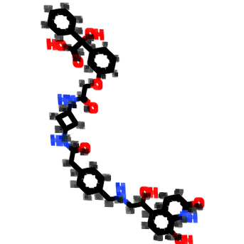 O=C(COc1cccc(C(O)(C(=O)O)c2ccccc2)c1)NC1CC(NC(=O)Cc2ccc(CNCC(O)c3ccc(O)c4[nH]c(=O)ccc34)cc2)C1